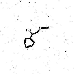 OC(CN=C=S)c1ccccc1